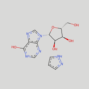 OC[C@H]1O[C@@H](n2cnc3c(O)ncnc32)[C@H](O)[C@@H]1O.c1cn[nH]c1